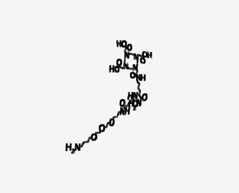 NCCCCOCCOCCOCCCNC(=O)CCC(=O)N[C@@H](CCCCNC(=O)CN1CCN(CC(=O)O)CCN(CC(=O)O)CCN(CC(=O)O)CC1)C(N)=O